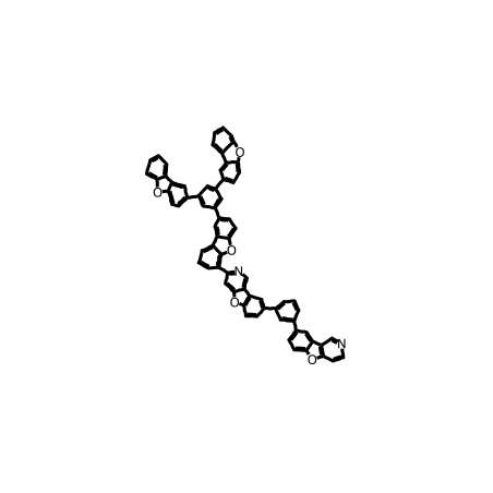 c1cc(-c2ccc3oc4ccncc4c3c2)cc(-c2ccc3oc4cc(-c5cccc6c5oc5ccc(-c7cc(-c8ccc9oc%10ccccc%10c9c8)cc(-c8ccc9oc%10ccccc%10c9c8)c7)cc56)ncc4c3c2)c1